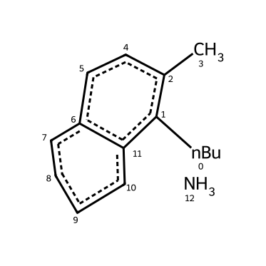 CCCCc1c(C)ccc2ccccc12.N